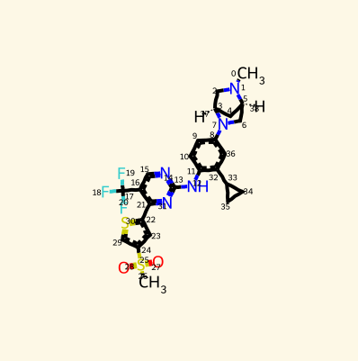 CN1C[C@H]2C[C@@H]1CN2c1ccc(Nc2ncc(C(F)(F)F)c(-c3cc(S(C)(=O)=O)cs3)n2)c(C2CC2)c1